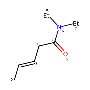 C/C=C/CC(=O)N(CC)CC